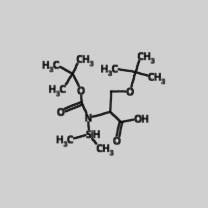 C[SiH](C)N(C(=O)OC(C)(C)C)C(COC(C)(C)C)C(=O)O